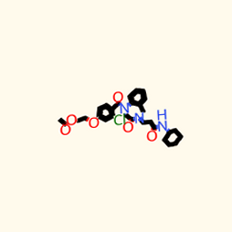 CC(=O)OCCOc1ccc(C(=O)N2CC(=O)N(CCC(=O)NC3CCCCC3)Cc3ccccc32)c(Cl)c1